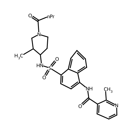 CCCC(=O)N1CCC(NS(=O)(=O)c2ccc(NC(=O)c3cccnc3C)c3ccccc23)C(C)C1